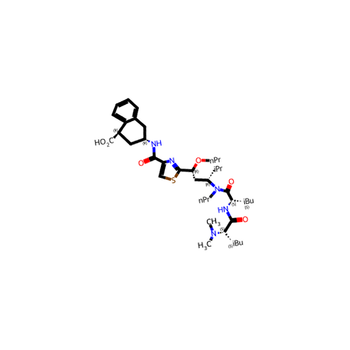 CCCO[C@H](C[C@H](C(C)C)N(CCC)C(=O)[C@@H](NC(=O)[C@H]([C@@H](C)CC)N(C)C)[C@@H](C)CC)c1nc(C(=O)N[C@H]2Cc3ccccc3[C@H](C(=O)O)C2)cs1